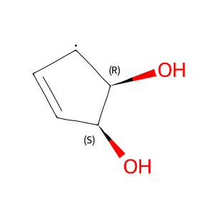 O[C@@H]1[CH]C=C[C@@H]1O